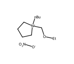 CCCC[N+]1(COCC)CCCC1.O=[N+]([O-])[O-]